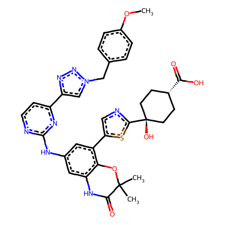 COc1ccc(Cn2cc(-c3ccnc(Nc4cc5c(c(-c6cnc([C@]7(O)CC[C@H](C(=O)O)CC7)s6)c4)OC(C)(C)C(=O)N5)n3)nn2)cc1